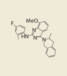 COc1cccc2c(N3Cc4ccccc4CC3C)nc(Nc3ccc(F)cc3C)nc12